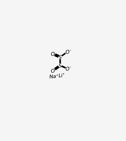 O=S([O-])S(=O)[O-].[Li+].[Na+]